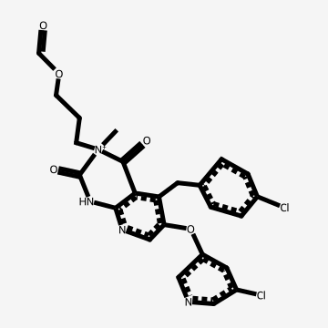 C[N+]1(CCCOC=O)C(=O)Nc2ncc(Oc3cncc(Cl)c3)c(Cc3ccc(Cl)cc3)c2C1=O